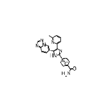 Cc1cccc(-c2nc(C34CCC(C(N)=O)(CC3)CC4)[nH]c2-c2ccc3ncnn3c2)n1